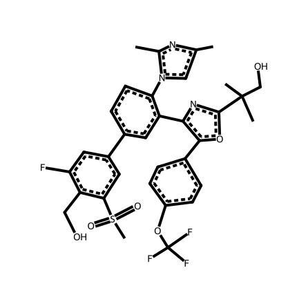 Cc1cn(-c2ccc(-c3cc(F)c(CO)c(S(C)(=O)=O)c3)cc2-c2nc(C(C)(C)CO)oc2-c2ccc(OC(F)(F)F)cc2)c(C)n1